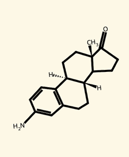 C[C@]12CC[C@@H]3c4ccc(N)cc4CC[C@H]3C1CCC2=O